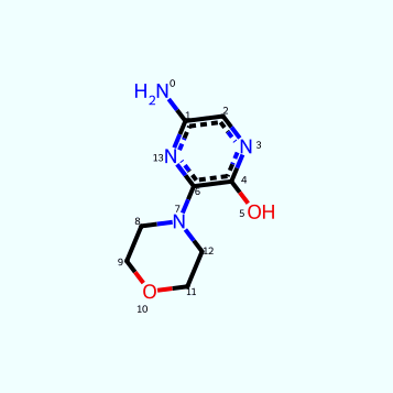 Nc1cnc(O)c(N2CCOCC2)n1